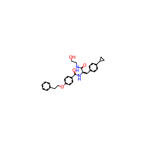 O=C(NCCO)/C(=C\c1ccc(C2CC2)cc1)NC(=O)c1ccc(OCCc2ccccc2)cc1